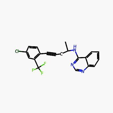 CC(CC#Cc1ccc(Cl)cc1C(F)(F)F)Nc1ncnc2ccccc12